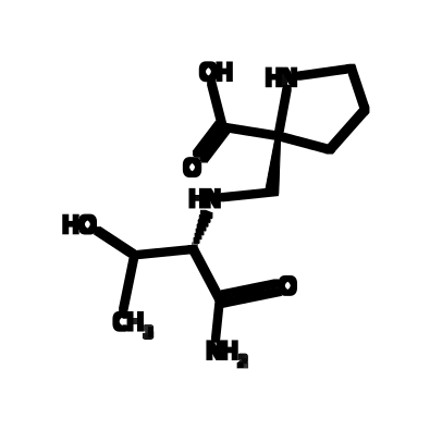 CC(O)[C@H](NC[C@]1(C(=O)O)CCCN1)C(N)=O